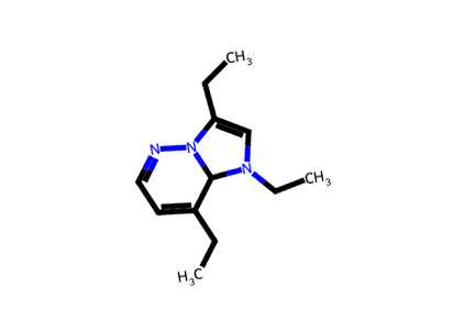 CCC1=CC=NN2C(CC)=CN(CC)C12